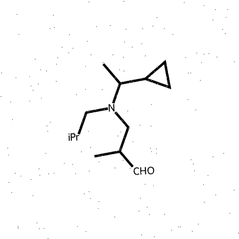 CC(C)CN(CC(C)C=O)C(C)C1CC1